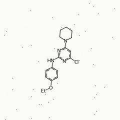 CCOc1ccc(Nc2nc(Cl)cc(N3CCCCC3)n2)cc1